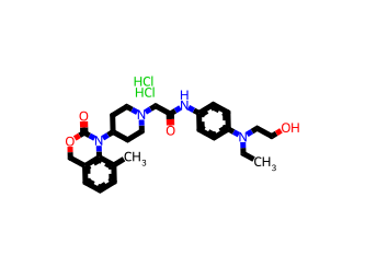 CCN(CCO)c1ccc(NC(=O)CN2CCC(N3C(=O)OCc4cccc(C)c43)CC2)cc1.Cl.Cl